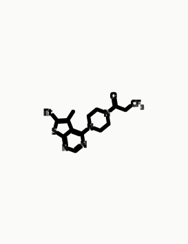 CCc1sc2ncnc(N3CCN(C(=O)CC(F)(F)F)CC3)c2c1C